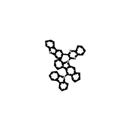 c1ccc2c(-n3c4ccccc4c4ccccc43)c3c4ccccc4n(-c4nc5ccccc5nc4-c4ccc5sc6ccccc6c5c4)c3cc2c1